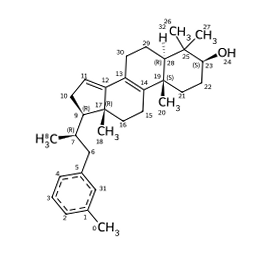 Cc1cccc(C[C@@H](C)[C@H]2CC=C3C4=C(CC[C@@]32C)[C@@]2(C)CC[C@H](O)C(C)(C)[C@@H]2CC4)c1